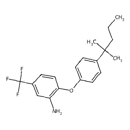 CCCC(C)(C)c1ccc(Oc2ccc(C(F)(F)F)cc2N)cc1